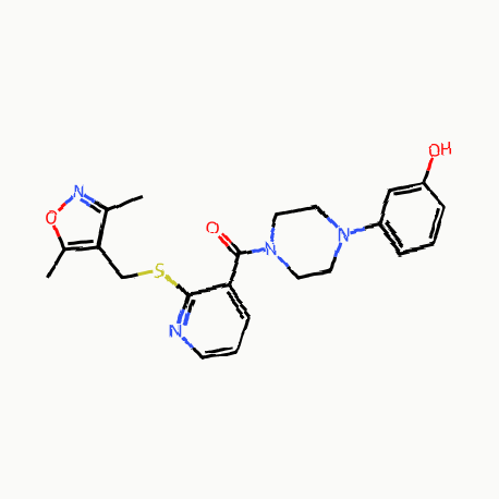 Cc1noc(C)c1CSc1ncccc1C(=O)N1CCN(c2cccc(O)c2)CC1